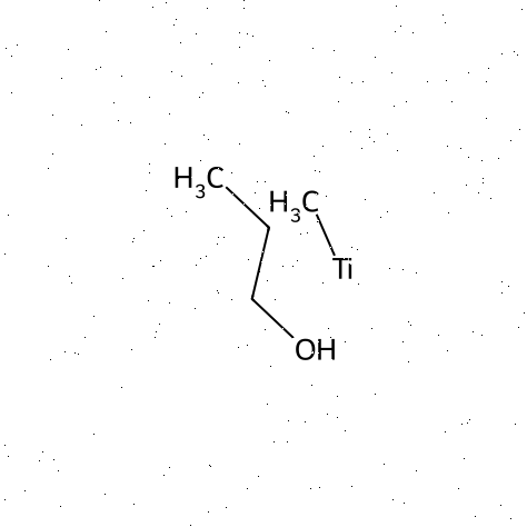 CCCO.[CH3][Ti]